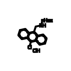 CCCCCCNCc1c2ccccc2c(Cl)c2ccccc12.Cl